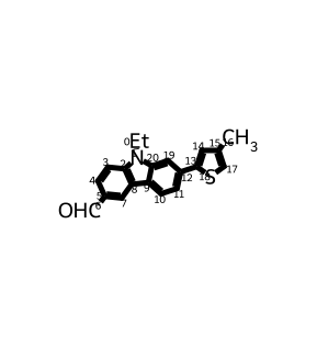 CCn1c2ccc(C=O)cc2c2ccc(-c3cc(C)cs3)cc21